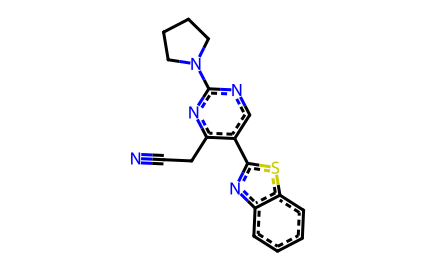 N#CCc1nc(N2CCCC2)ncc1-c1nc2ccccc2s1